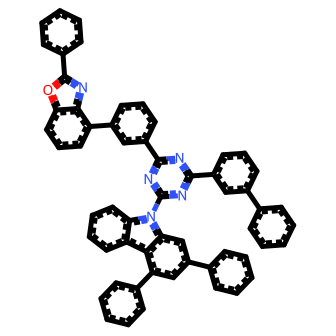 c1ccc(-c2cccc(-c3nc(-c4cccc(-c5cccc6oc(-c7ccccc7)nc56)c4)nc(-n4c5ccccc5c5c(-c6ccccc6)cc(-c6ccccc6)cc54)n3)c2)cc1